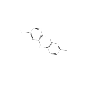 Cc1ccc(Nc2cncc(C#N)c2)c(C(=O)O)n1